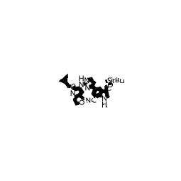 CC(C)(C)[Si](C)(C)OC[C@@]1(C)CNc2c(C#N)cc(-c3ccnc(Nc4cc5c(nc4OCC4CC4)CCOC5)n3)cc21